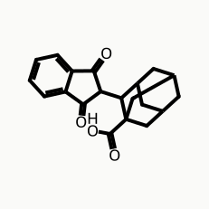 O=C1c2ccccc2C(=O)C1C1C2CC3CC(C2)CC1(C(=O)O)C3